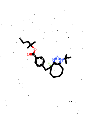 CCCC(C)(C)OC(=O)c1ccc(CC2(F)CCCCCc3c2nnn3C(C)(C)C)cc1